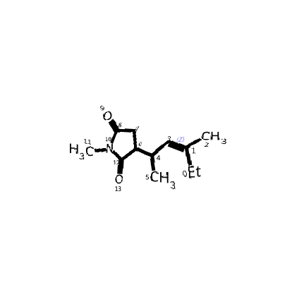 CC/C(C)=C\C(C)C1CC(=O)N(C)C1=O